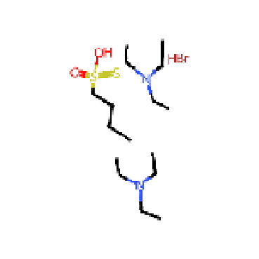 Br.CCCCS(=O)(O)=S.CCN(CC)CC.CCN(CC)CC